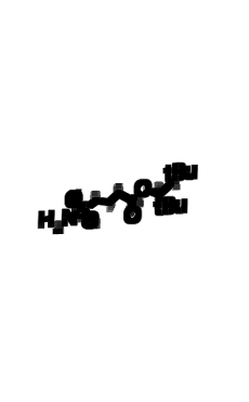 CC(C)(C)CC(OC(=O)CCCS(N)(=O)=O)C(C)(C)C